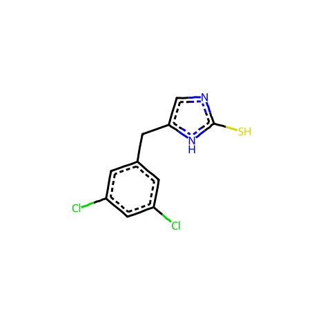 Sc1ncc(Cc2cc(Cl)cc(Cl)c2)[nH]1